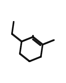 CCC1[C]=C(C)CCC1